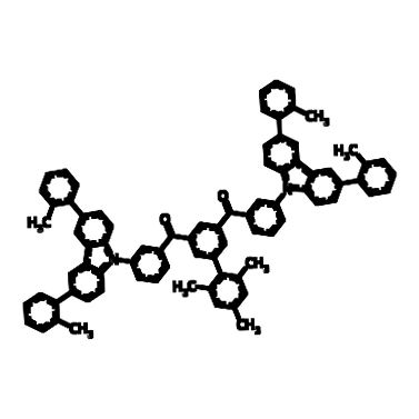 Cc1cc(C)c(-c2cc(C(=O)c3cccc(-n4c5ccc(-c6ccccc6C)cc5c5cc(-c6ccccc6C)ccc54)c3)cc(C(=O)c3cccc(-n4c5ccc(-c6ccccc6C)cc5c5cc(-c6ccccc6C)ccc54)c3)c2)c(C)c1